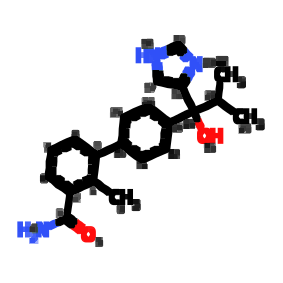 Cc1c(C(N)=O)cccc1-c1ccc(C(O)(c2c[nH]cn2)C(C)C)cc1